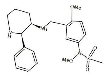 COc1ccc(N(OC)S(C)(=O)=O)cc1CN[C@@H]1CCCN[C@@H]1c1ccccc1